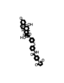 C[C@]12C=CC(=O)C=C1CC[C@H]1C3C[C@H]4O[C@@H](c5ccc(Sc6cccc(NC(=O)c7ccc(N8C(=O)C=CC8=O)cc7)c6)cc5)O[C@@]4(C(=O)CO)[C@@]3(C)C[C@H](O)[C@@]12F